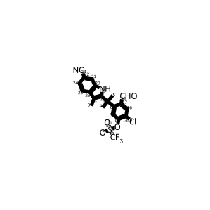 Cc1c(C(C)(C)c2cc(OS(=O)(=O)C(F)(F)F)c(Cl)cc2C=O)[nH]c2cc(C#N)ccc12